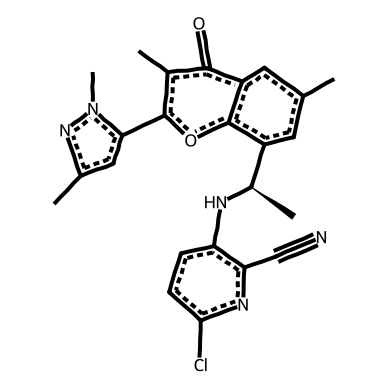 Cc1cc([C@@H](C)Nc2ccc(Cl)nc2C#N)c2oc(-c3cc(C)nn3C)c(C)c(=O)c2c1